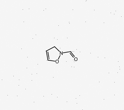 O=[C]N1CC=CO1